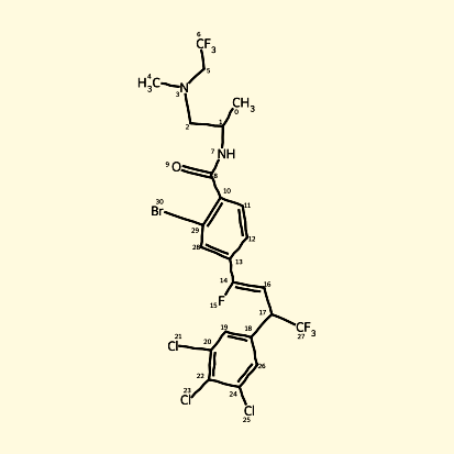 CC(CN(C)CC(F)(F)F)NC(=O)c1ccc(/C(F)=C/C(c2cc(Cl)c(Cl)c(Cl)c2)C(F)(F)F)cc1Br